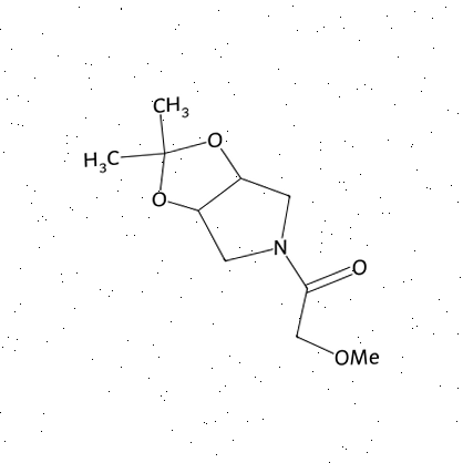 COCC(=O)N1CC2OC(C)(C)OC2C1